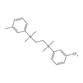 Cc1cccc([Si](C)(C)CC[Si](C)(C)c2cccc(C(F)(F)F)c2)c1